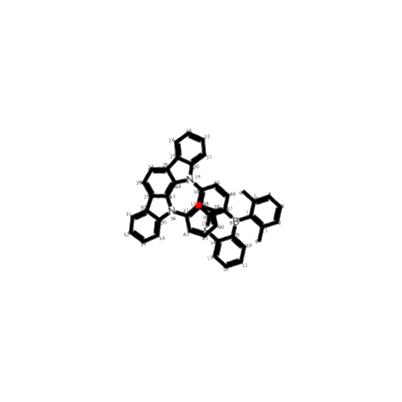 Cc1cccc(C)c1B1c2ccccc2Sc2cc(-n3c4ccccc4c4ccc5c6ccccc6n(-c6ccccc6)c5c43)ccc21